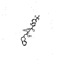 O=C(NC[C@H](O)[C@@H](O)CN1CCc2ccccc2C1)c1cn2cc(C(F)(F)F)ccc2n1